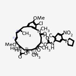 COc1cc2cc(c1Cl)N(C)C(=O)C[C@H](OC(=O)Nc1cc(N3CCCC3)c([N+](=O)[O-])cc1C)[C@]1(C)O[C@H]1[C@H](C)[C@@H]1C[C@@](O)(NC(=O)O1)[C@H](OC)/C=C/C=C(\C)C2